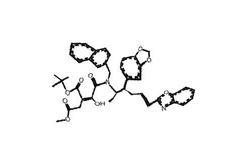 COC(=O)CC(C(=O)OC(C)(C)C)=C(O)C(=O)N(Cc1ccc2ccccc2c1)[C@H](C)[C@H](CC=Cc1nc2ccccc2o1)c1ccc2c(c1)OCO2